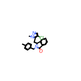 Cc1ccc(CN2C(=O)c3ccccc3C2Cc2c(Cl)cnn2C)cc1